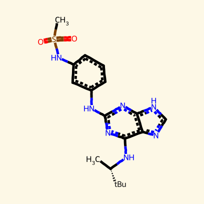 C[C@H](Nc1nc(Nc2cccc(NS(C)(=O)=O)c2)nc2[nH]cnc12)C(C)(C)C